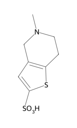 CN1CCc2sc(S(=O)(=O)O)cc2C1